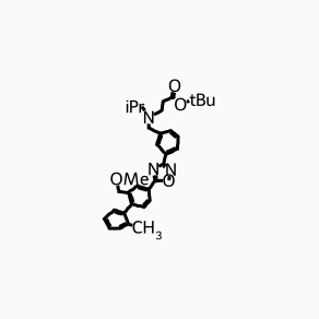 COCc1cc(-c2nc(-c3cccc(CN(CCC(=O)OC(C)(C)C)C(C)C)c3)no2)ccc1-c1ccccc1C